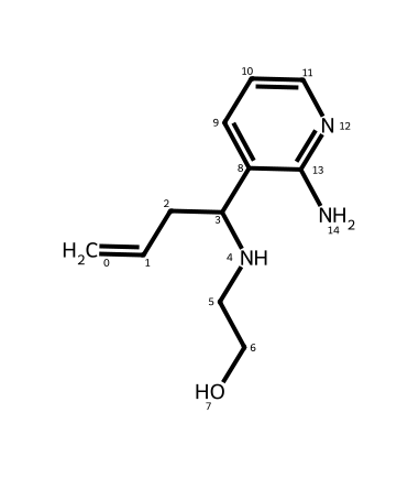 C=CCC(NCCO)c1cccnc1N